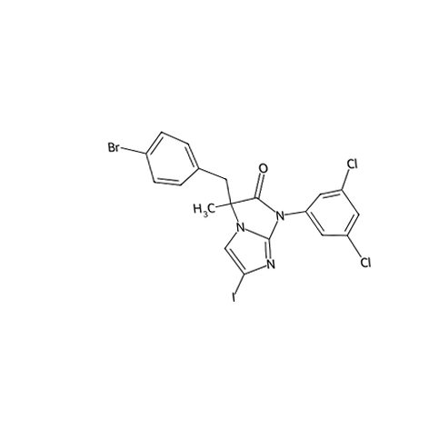 CC1(Cc2ccc(Br)cc2)C(=O)N(c2cc(Cl)cc(Cl)c2)c2nc(I)cn21